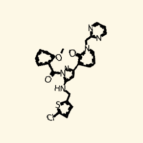 COc1ccccc1C(=O)n1nc(-c2cccn(Cc3ncccn3)c2=O)cc1NCc1ccc(Cl)s1